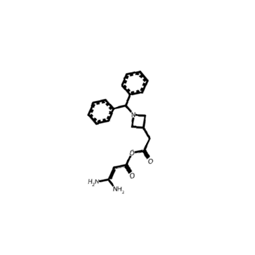 NC(N)=CC(=O)OC(=O)CC1CN(C(c2ccccc2)c2ccccc2)C1